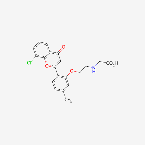 O=C(O)CNCCOc1cc(C(F)(F)F)ccc1-c1cc(=O)c2cccc(Cl)c2o1